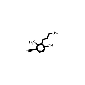 CCCCc1c(O)ccc(C#N)c1C